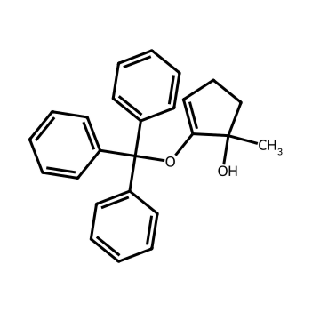 CC1(O)CCC=C1OC(c1ccccc1)(c1ccccc1)c1ccccc1